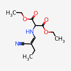 CCOC(=O)C(NC=C(C#N)CC)C(=O)OCC